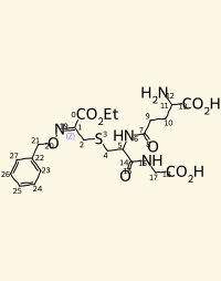 CCOC(=O)/C(CSCC(NC(=O)CCC(N)C(=O)O)C(=O)NCC(=O)O)=N/OCc1ccccc1